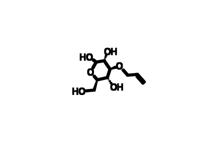 C=CCO[C@H]1[C@H](O)[C@@H](CO)OC(O)[C@@H]1O